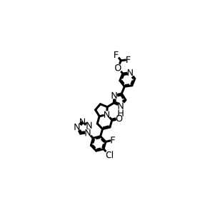 O=C1C=C(c2c(-n3cnnn3)ccc(Cl)c2F)CC2CCC(c3nc(-c4ccnc(OC(F)F)c4)c[nH]3)N12